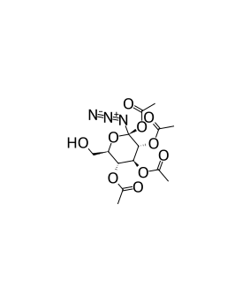 CC(=O)O[C@H]1[C@H](OC(C)=O)[C@@H](CO)O[C@@](N=[N+]=[N-])(OC(C)=O)[C@@H]1OC(C)=O